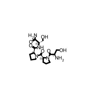 NC(=O)[C@H](CO)NC(=O)[C@@H]1CCCN1C(=O)[C@@H]1CCCN1C(=O)[C@@H](N)CO